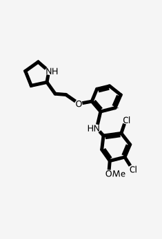 COc1cc(Nc2[c]cccc2OCCC2CCCN2)c(Cl)cc1Cl